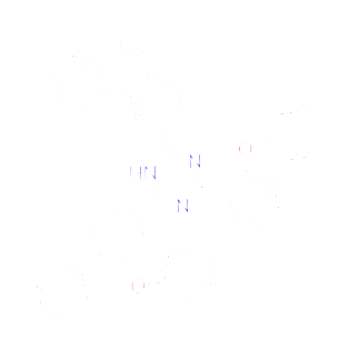 c1ccc(-c2ccc(C3=NC(c4cccc5c4oc4ccccc45)=NC(c4ccc5ccc6ccccc6c5c4)N3)c3c2oc2ccccc23)cc1